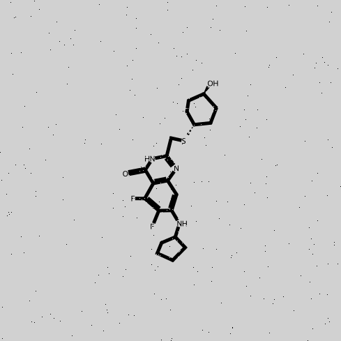 O=c1[nH]c(CS[C@H]2CC[C@H](O)CC2)nc2cc(NC3CCCC3)c(F)c(F)c12